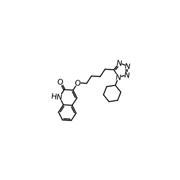 O=c1[nH]c2ccccc2cc1OCCCCc1nnnn1C1CCCCC1